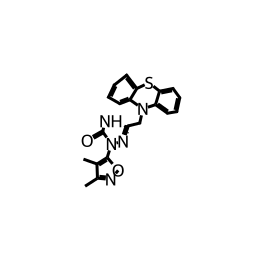 Cc1noc(N(N=CCN2c3ccccc3Sc3ccccc32)C(N)=O)c1C